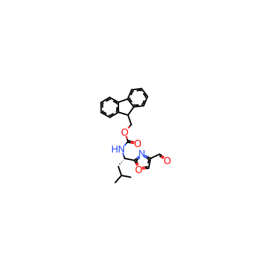 CC(C)C[C@H](NC(=O)OCC1c2ccccc2-c2ccccc21)c1nc(C=O)co1